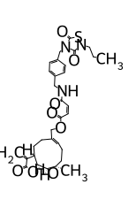 C=C1C(=O)O[C@H]2[C@H]1CC/C(COC(=O)/C=C\C(=O)NCc1ccc(Cn3c(=O)sn(CCC)c3=O)cc1)=C\CC[C@@]1(C)O[C@@H]21